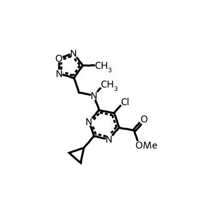 COC(=O)c1nc(C2CC2)nc(N(C)Cc2nonc2C)c1Cl